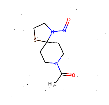 CC(=O)N1CCC2(CC1)SCCN2N=O